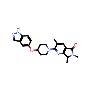 Cc1cc2c(nc1N1CCC(Oc3ccc4[nH]ncc4c3)CC1)C(C)N(C)C2=O